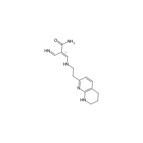 N=C/C(=C\NCCc1ccc2c(n1)NCCC2)C(N)=O